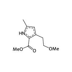 COCCc1cc(C)[nH]c1C(=O)OC